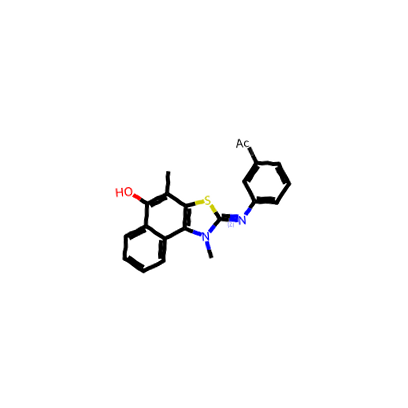 CC(=O)c1cccc(/N=c2\sc3c(C)c(O)c4ccccc4c3n2C)c1